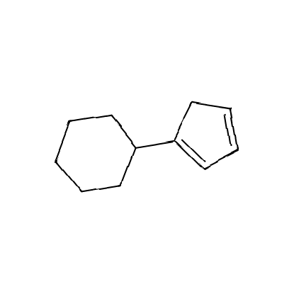 C1=CCC(C2CCCCC2)=C1